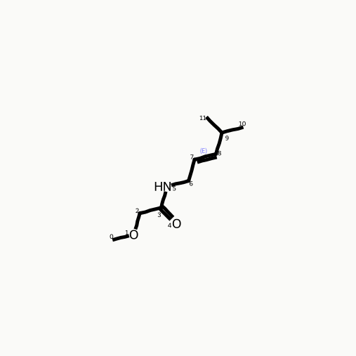 COCC(=O)NC/C=C/C(C)C